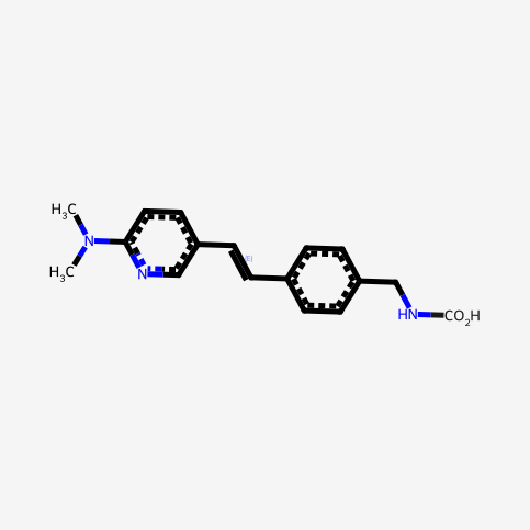 CN(C)c1ccc(/C=C/c2ccc(CNC(=O)O)cc2)cn1